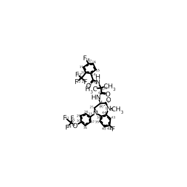 CN1C(=O)[C@H](NC(=O)C(C)(C)NC(=O)c2ccc(F)cc2C(F)(F)F)CN(c2ccc(OC(F)(F)F)cc2)c2ccc(F)cc21